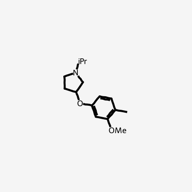 COc1cc(OC2CCN(C(C)C)C2)ccc1C